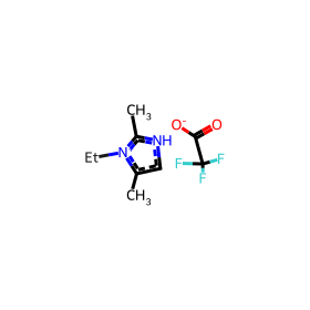 CC[n+]1c(C)c[nH]c1C.O=C([O-])C(F)(F)F